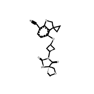 N#Cc1ccc(OC2CC(N3C(=O)N[C@@]4(CCOC4)C3=O)C2)c2c1OCC21CC1